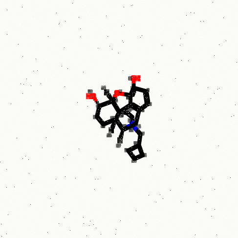 Oc1ccc2c3c1O[C@H]1[C@@H](O)CC[C@H]4[C@@H](C2)N(CC2CCC2)CC[C@@]341